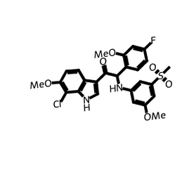 COc1cc(NC(C(=O)c2c[nH]c3c(Cl)c(OC)ccc23)c2ccc(F)cc2OC)cc(S(C)(=O)=O)c1